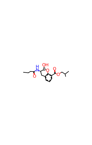 CCCC(=O)NC1Cc2cccc(C(=O)OCC(C)C)c2OB1O